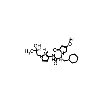 CC(C)OC1=CC(=O)N([C@@H](CC2CCCCC2)C(=O)Nc2ccn(CC(C)(C)O)n2)C1